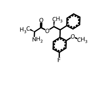 COc1cc(F)ccc1C(c1ccccc1)[C@H](C)OC(=O)[C@H](C)N